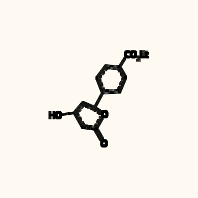 CCOC(=O)c1ccc(-c2cc(O)cc(=O)o2)cc1